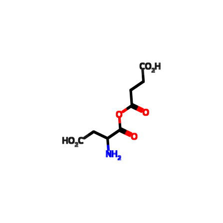 NC(CC(=O)O)C(=O)OC(=O)CCC(=O)O